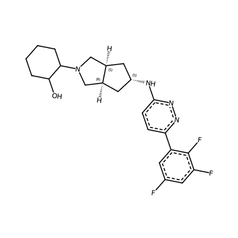 OC1CCCCC1N1C[C@H]2C[C@H](Nc3ccc(-c4cc(F)cc(F)c4F)nn3)C[C@H]2C1